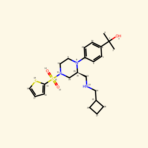 CC(C)(O)c1ccc(N2CCN(S(=O)(=O)c3cccs3)C[C@@H]2CNCC2CCC2)cc1